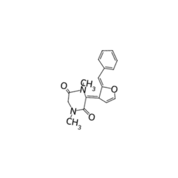 CN1CC(=O)N(C)/C(=c2/ccoc2=Cc2ccccc2)C1=O